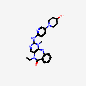 CCN1C(=O)c2ccccc2NC2=C1C=NC(Nc1ccc(N3CCC(O)CC3)cn1)N2C